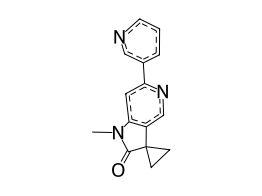 CN1C(=O)C2(CC2)c2cnc(-c3cccnc3)cc21